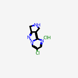 Cl.Clc1cnc2c3c(nn2c1)CNC3